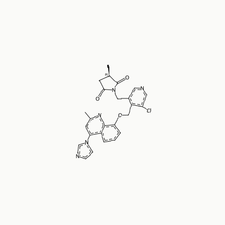 Cc1cc(-n2ccnc2)c2cccc(OCc3c(Cl)cncc3CN3C(=O)C[C@@H](C)C3=O)c2n1